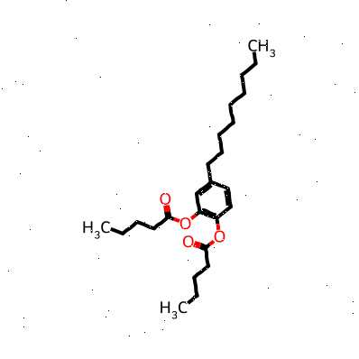 CCCCCCCCCc1ccc(OC(=O)CCCC)c(OC(=O)CCCC)c1